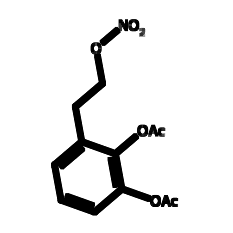 CC(=O)Oc1cccc(CCO[N+](=O)[O-])c1OC(C)=O